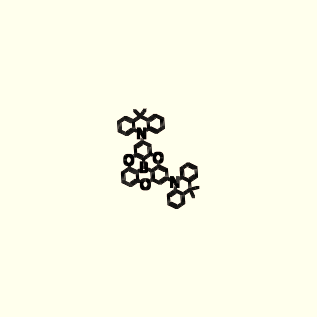 CC1(C)c2ccccc2N(c2cc3c4c(c2)Oc2cc(N5c6ccccc6C(C)(C)c6ccccc65)cc5c2B4c2c(cccc2O5)O3)c2ccccc21